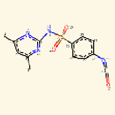 Cc1cc(C)nc(NS(=O)(=O)c2ccc(N=C=O)cc2)n1